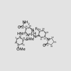 COc1ccc(Nc2nc(Nc3cc(N4CCCC4=O)ccc3F)ncc2C(N)=O)c(SC)c1